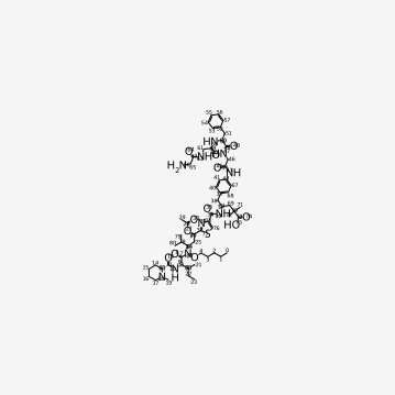 CCCCCON(C(=O)[C@@H](NC(=O)[C@H]1CCCCN1C)[C@@H](C)CC)[C@H](C[C@@H](OC(C)=O)c1nc(C(=O)N[C@@H](Cc2ccc(NC(=O)CNC(=O)[C@H](Cc3ccccc3)NC(=O)CNC(=O)CN)cc2)CC(C)(C)C(=O)O)cs1)C(C)C